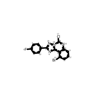 Fc1ccc(-c2nc3c4c(Br)cccc4nc(Cl)n3n2)cc1